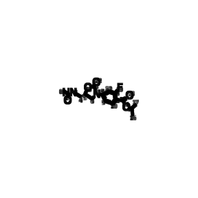 CC(=O)NC[C@H]1CN(c2ccc(C(=O)OC(C)C)c(F)c2)C(=O)O1